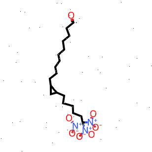 O=[C]CCCCCCCCCC1CC1CCCCCC([N+](=O)[O-])([N+](=O)[O-])[N+](=O)[O-]